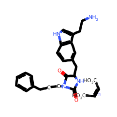 NCCc1c[nH]c2ccc(CC3NC(=O)N(CCCc4ccccc4)C3=O)cc12.O=C(O)/C=C\C(=O)O